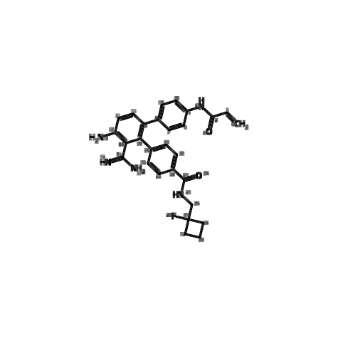 C=CC(=O)Nc1ccc(-c2ccc(N)c(C(=N)N)c2-c2ccc(C(=O)NCC3(F)CCC3)cc2)cc1